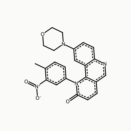 Cc1ccc(-n2c(=O)ccc3cnc4ccc(N5CCOCC5)cc4c32)cc1[N+](=O)[O-]